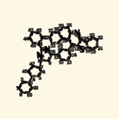 c1ccc(-c2ccc(-c3cc(-c4cccc(-c5c6sc7ccccc7c6nc6ccc7ccccc7c56)c4)nc(-c4ccccc4)n3)cc2)cc1